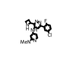 CNc1cc(Nc2cc(-c3cc(Cl)ccc3F)nnc2C2CCN2)ccn1